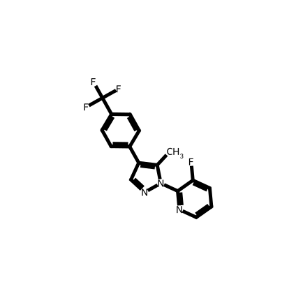 Cc1c(-c2ccc(C(F)(F)F)cc2)cnn1-c1ncccc1F